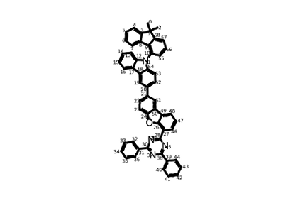 CC1(C)c2ccccc2-c2c(-n3c4ccccc4c4cc(-c5ccc6oc7c(-c8nc(-c9ccccc9)nc(-c9ccccc9)n8)cccc7c6c5)ccc43)cccc21